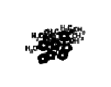 Cc1cc(C(C)(C)C)c(O)c(C2(c3cc(C)cc(C4(c5cc(C)cc(C(C)(C)C)c5O)CCC5C6CCC(C6)C54)c3O)CCC3C4CCC(C4)C32)c1